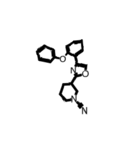 N#CN1CCCC(c2nc(-c3ccccc3Oc3ccccc3)co2)C1